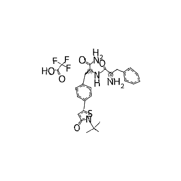 CC(C)(C)n1sc(-c2ccc(C[C@H](NC(=O)[C@@H](N)Cc3ccccc3)C(N)=O)cc2)cc1=O.O=C(O)C(F)(F)F